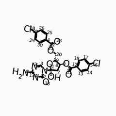 Nc1ncn([C@]2(O)C[C@H](OC(=O)c3ccc(Cl)cc3)[C@@H](COC(=O)c3ccc(Cl)cc3)O2)c(=O)n1